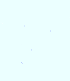 N#CCCCn1cc(C2=C(c3cn(CCCC#N)c4ccccc34)C(=O)N(CCN)C2=O)c2ccccc21